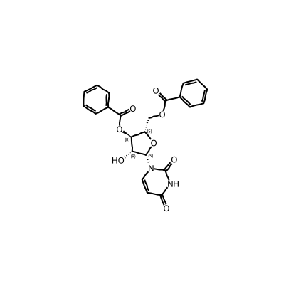 O=C(OC[C@@H]1O[C@H](n2ccc(=O)[nH]c2=O)[C@H](O)[C@H]1OC(=O)c1ccccc1)c1ccccc1